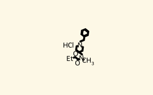 CCC1OC2(CCN(CCc3ccccc3)CC2)CN(C)C1=O.Cl